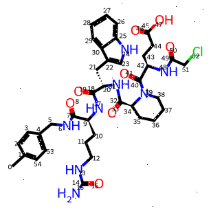 Cc1ccc(CNC(=O)[C@H](CCCNC(N)=O)NC(=O)[C@H](Cc2c[nH]c3ccccc23)NC(=O)[C@@H]2CCCCN2C(=O)[C@@H](CCC(=O)O)NC(=O)CCl)cc1